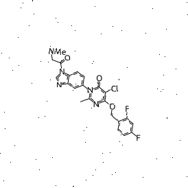 CNCC(=O)n1cnc2cc(-n3c(C)nc(OCc4ccc(F)cc4F)c(Cl)c3=O)ccc21